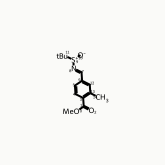 COC(=O)c1ccc(/C=N/[S+]([O-])C(C)(C)C)cc1C